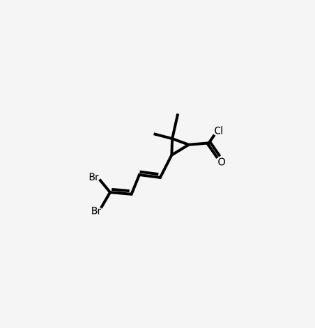 CC1(C)C(C=CC=C(Br)Br)C1C(=O)Cl